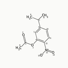 CC(=O)Oc1cc(C(C)C)ccc1[N+](=O)[O-]